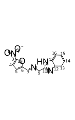 O=[N+]([O-])c1ccc(C=NCc2nc3ccccc3[nH]2)o1